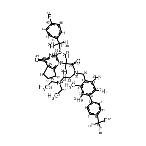 [2H]c1c([2H])c(-c2ccc(C(F)(F)F)cc2)c([2H])c(C)c1CN(CCN(CC)CC)C(=O)C([2H])([2H])n1c(SC([2H])([2H])c2ccc(F)cc2)nc(=O)c2c1CCC2